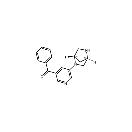 O=C(c1ccccc1)c1cncc(N2C[C@H]3C[C@H]2CN3)c1